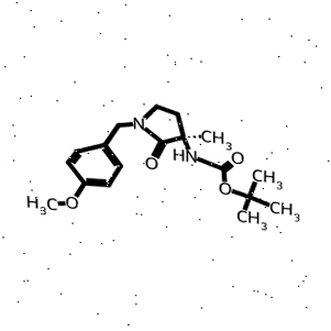 COc1ccc(CN2CC[C@@](C)(NC(=O)OC(C)(C)C)C2=O)cc1